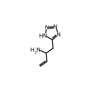 C=CC(N)Cc1nnn[nH]1